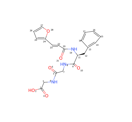 O=C(O)CNC(=O)CNC(=O)[C@H](Cc1ccccc1)NC(=O)/C=C/c1ccco1